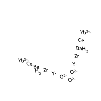 [BaH2].[BaH2].[Ce].[Ce].[O-2].[O-2].[O-2].[Y].[Y].[Yb+3].[Yb+3].[Zr].[Zr]